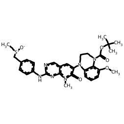 COc1cccc2c1N(C(=O)OC(C)(C)C)CCN2c1cc2cnc(Nc3ccc(C[S+](C)[O-])cc3)nc2n(C)c1=O